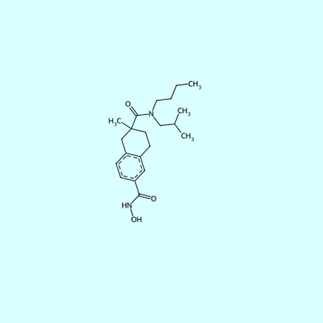 CCCCN(CC(C)C)C(=O)C1(C)CCc2cc(C(=O)NO)ccc2C1